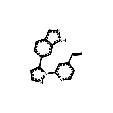 C=Cc1ccnc(-n2nccc2-c2ccc3cn[nH]c3c2)c1